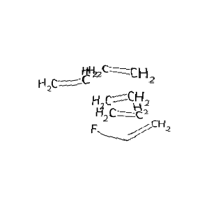 C=C.C=C.C=C.C=C.C=CF